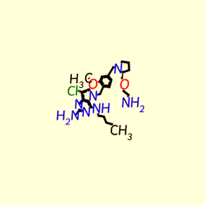 CCCCCNc1nc(N)nc2c(Cl)cn(Cc3ccc(CN4CCC[C@H]4COCCN)cc3OC)c12